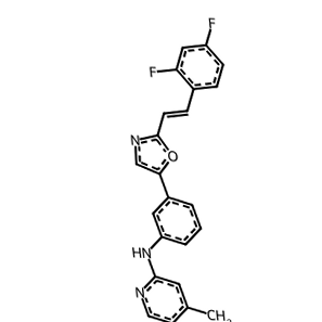 Cc1ccnc(Nc2cccc(-c3cnc(C=Cc4ccc(F)cc4F)o3)c2)c1